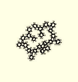 c1ccc(-c2cc(-c3ccccc3)cc(-c3cccc(-n4c5ccccc5c5cc(-c6ccc7c(c6)c6cc(-c8ccc9c(c8)C8(c%10ccccc%10-c%10ccccc%108)c8cc(-c%10ccc%11c(c%10)c%10cc(-c%12ccc%13c(c%12)c%12ccccc%12n%13-c%12cccc(-c%13cc(-c%14ccccc%14)cc(-c%14ccccc%14)c%13)c%12)ccc%10n%11-c%10ccccc%10)ccc8-9)ccc6n7-c6ccccc6)ccc54)c3)c2)cc1